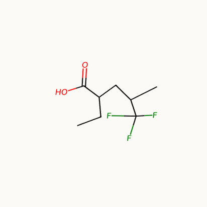 CCC(CC(C)C(F)(F)F)C(=O)O